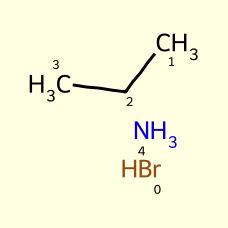 Br.CCC.N